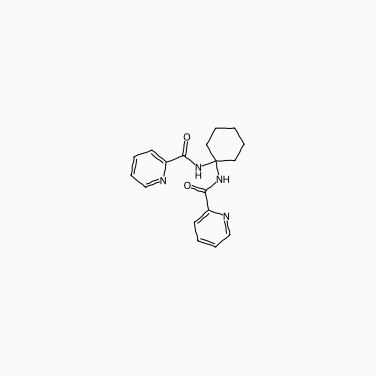 O=C(NC1(NC(=O)c2ccccn2)CCCCC1)c1ccccn1